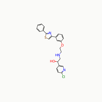 O[C@@H](CNCCOc1cccc(-c2csc(-c3ccccc3)n2)c1)c1ccc(Cl)nc1